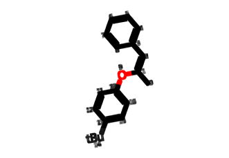 CC(=Cc1ccccc1)Oc1ccc(C(C)(C)C)cc1